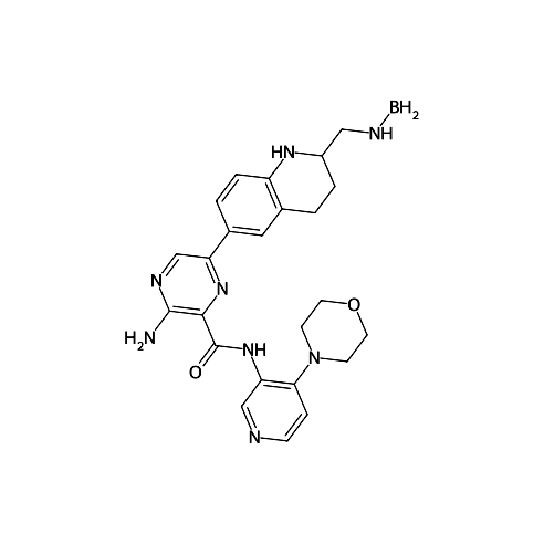 BNCC1CCc2cc(-c3cnc(N)c(C(=O)Nc4cnccc4N4CCOCC4)n3)ccc2N1